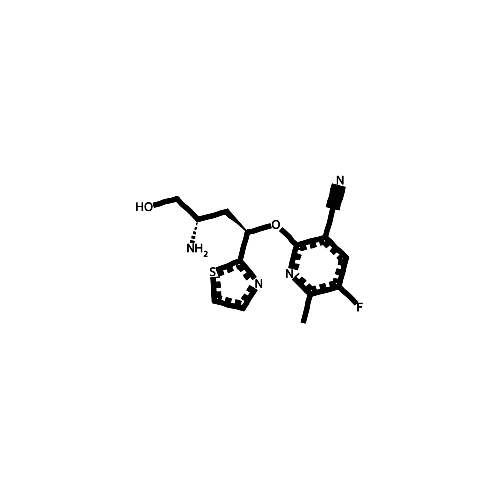 Cc1nc(O[C@H](C[C@H](N)CO)c2nccs2)c(C#N)cc1F